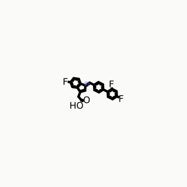 O=C(O)CC1=C/C(=C\c2ccc(-c3ccc(F)cc3F)cc2)c2ccc(F)cc21